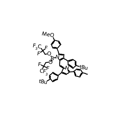 COc1ccc(-c2cc(-c3ccc(C(C)(C)C)cc3)c(/C=C3\N=C(c4ccc(C)cc4)C=C3c3ccc(C(C)(C)C)cc3)n2B(OCC(F)(F)C(F)(F)F)OCC(F)(F)C(F)(F)F)cc1